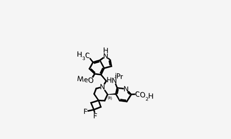 COc1cc(C)c2[nH]ccc2c1CN1CCC2(C[C@@H]1c1ccc(C(=O)O)nc1NC(C)C)CC(F)(F)C2